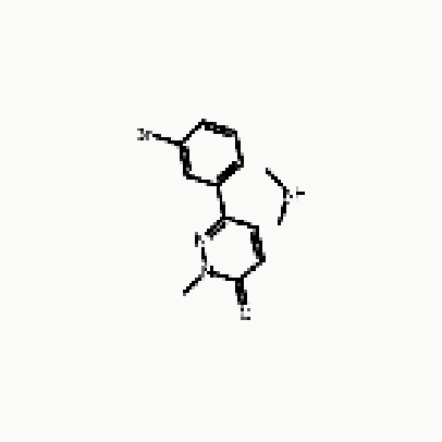 CNC.Cn1nc(-c2cccc(Br)c2)ccc1=O